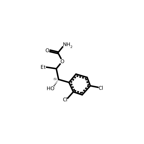 CCC(OC(N)=O)[C@@H](O)c1ccc(Cl)cc1Cl